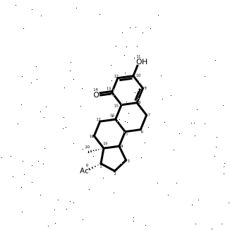 CC(=O)[C@H]1CCC2C3CCC4=CC(O)=CC(=O)C4C3CC[C@@]21C